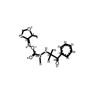 CC1OCSC1=NOC(=O)N(C)SC(C)(C)C(=O)c1ccccc1